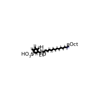 CCCCCCCC/C=C\CCCCCCCCCCCC(=O)NC(CC)c1cc(S(=O)(=O)O)c(C)c(C)c1C